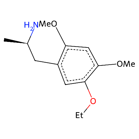 CCOc1cc(C[C@@H](C)N)c(OC)cc1OC